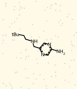 CC(C)(C)CCNCc1cnc(N)cn1